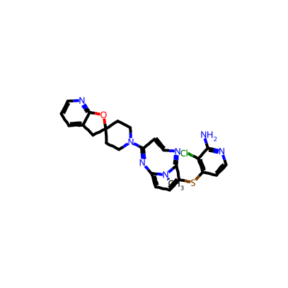 CN1C2=CC=C(Sc3ccnc(N)c3Cl)/C1=N/C=C/C(N1CCC3(CC1)Cc1cccnc1O3)=N\2